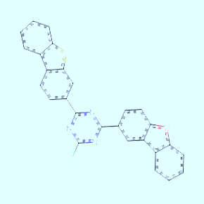 Clc1nc(-c2ccc3c(c2)sc2ccccc23)nc(-c2ccc3oc4ccccc4c3c2)n1